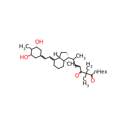 CCCCCCC(=O)C(C)(C)C(=O)/C=C/[C@H](C)[C@H]1CC[C@H]2/C(=C/C=C3C[C@@H](O)C(C)[C@H](O)C3)CCC[C@]12C